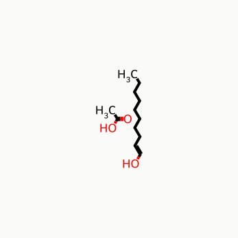 CC(=O)O.CCCCCCCCC=CO